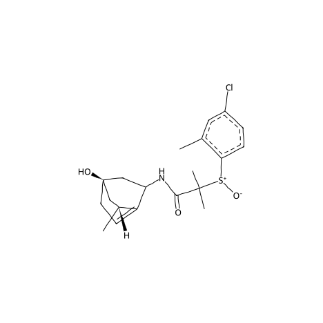 Cc1cc(Cl)ccc1[S+]([O-])C(C)(C)C(=O)NC1C[C@@]2(O)CC=C1[C@H](C)C2